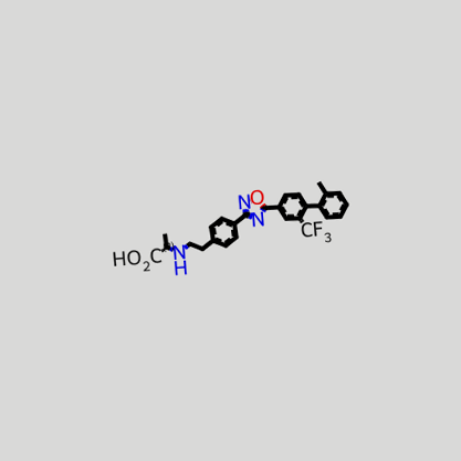 Cc1ccccc1-c1ccc(-c2nc(-c3ccc(CCN[C@H](C)C(=O)O)cc3)no2)cc1C(F)(F)F